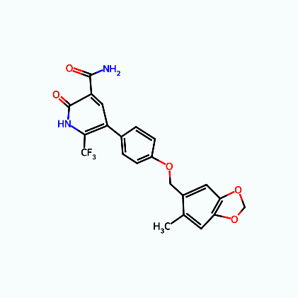 Cc1cc2c(cc1COc1ccc(-c3cc(C(N)=O)c(=O)[nH]c3C(F)(F)F)cc1)OCO2